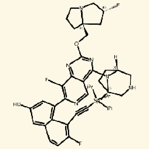 CC(C)[Si](C#Cc1c(F)ccc2cc(O)cc(-c3ncc4c(N5[C@@H]6CC[C@H]5CNC6)nc(OC[C@@]56CCCN5C[C@H](F)C6)nc4c3F)c12)(C(C)C)C(C)C